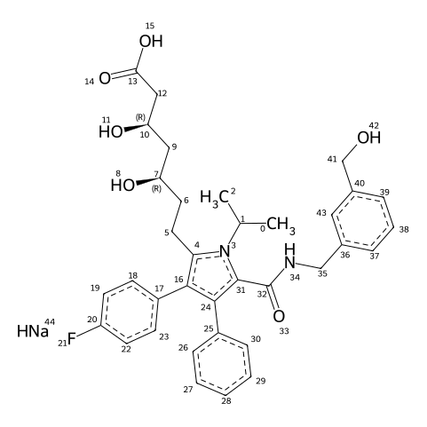 CC(C)n1c(CC[C@@H](O)C[C@@H](O)CC(=O)O)c(-c2ccc(F)cc2)c(-c2ccccc2)c1C(=O)NCc1cccc(CO)c1.[NaH]